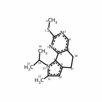 CSc1ncc2c(n1)-c1c(cc(C)n1C(C)C)CC2